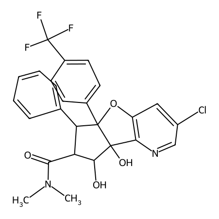 CN(C)C(=O)C1C(O)C2(O)c3ncc(Cl)cc3OC2(c2ccc(C(F)(F)F)cc2)C1c1ccccc1